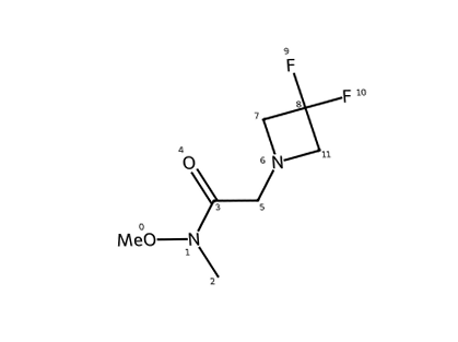 CON(C)C(=O)CN1CC(F)(F)C1